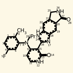 Cc1ccc(F)cc1N(c1cc[nH]c(=O)c1-c1nc2cc3c(cc2[nH]1)CNC3=O)C(C)C